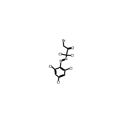 O=C(CBr)C(Cl)(Cl)N=Nc1c(Cl)cc(Cl)cc1Cl